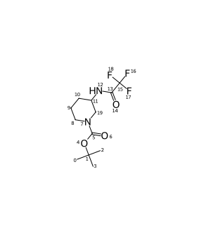 CC(C)(C)OC(=O)N1CCCC(NC(=O)C(F)(F)F)C1